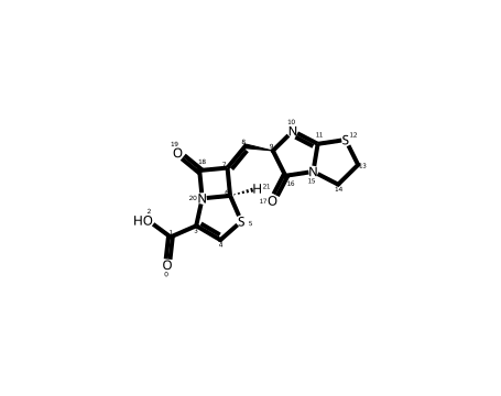 O=C(O)C1=CS[C@@H]2/C(=C\[C@H]3N=C4SCCN4C3=O)C(=O)N12